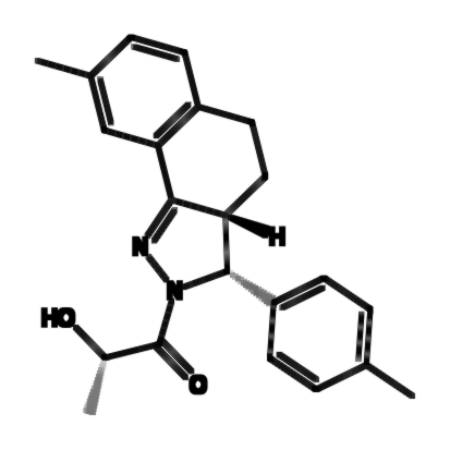 Cc1ccc([C@H]2[C@H]3CCc4ccc(C)cc4C3=NN2C(=O)[C@H](C)O)cc1